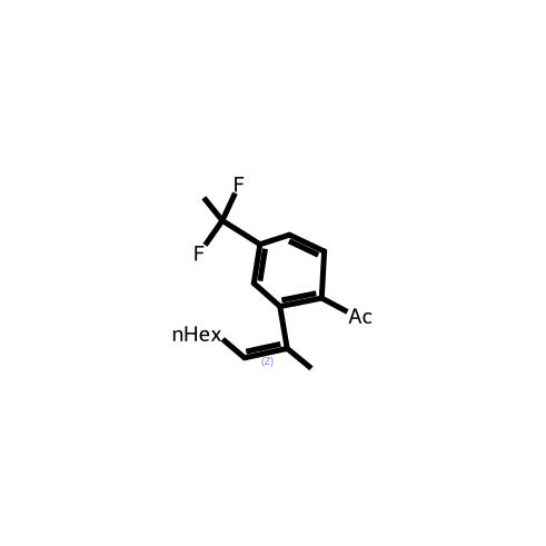 CCCCCC/C=C(/C)c1cc(C(C)(F)F)ccc1C(C)=O